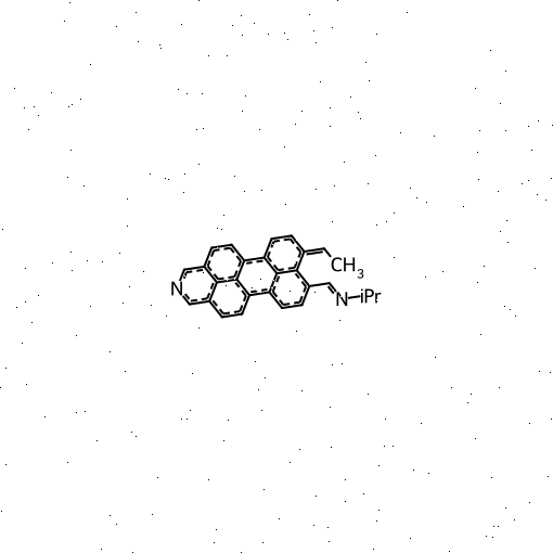 C/C=c1/ccc2c3ccc4cncc5ccc(c6ccc(/C=N/C(C)C)c1c62)c3c54